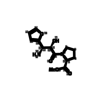 COC(=O)[C@@H]1CCCN1C(=O)[C@@H](O)[C@H](N)c1ccco1